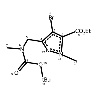 CCOC(=O)c1c(Br)c(CN(C)C(=O)OC(C)(C)C)nn1C